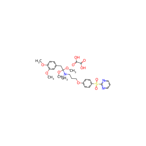 COc1ccc(CC(OC)(OC)N(C)CCCOc2ccc(S(=O)(=O)c3ncccn3)cc2)cc1OC.O=C(O)C(=O)O